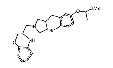 COC(C)Oc1ccc(Br)c(CC2CCN(CC3COc4ccccc4N3)C2)c1